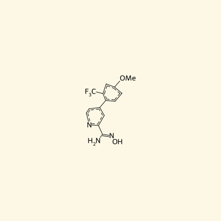 COc1ccc(-c2ccnc(C(N)=NO)c2)c(C(F)(F)F)c1